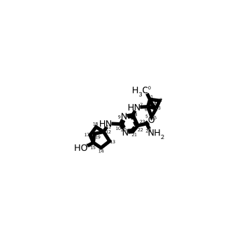 CC12CC3(C1)CC23Nc1nc(NC23CCC(O)(CC2)C3)ncc1C(N)=O